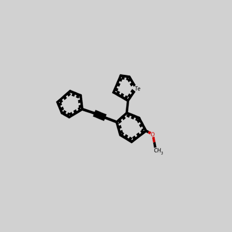 COc1ccc(C#Cc2ccccc2)c(-c2ccc[te]2)c1